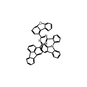 c1ccc2c(c1)-c1cccc3c(-c4nc(-c5ccccc5-n5c6ccccc6c6ccccc65)nc(-c5cccc6oc7ccccc7c56)n4)ccc-2c13